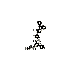 O=C(Nc1ccc(Oc2ccnc(N=C(c3ccccc3)c3ccccc3)c2Cl)c(F)c1)c1cn(COP(=O)(O)O)cc(-c2ccc(F)cc2)c1=O